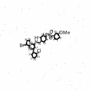 COc1cccc(S(=O)(=O)Nc2ccc(CNc3cc(-c4ccccc4Cl)nc4c(Br)ccn34)cc2)c1